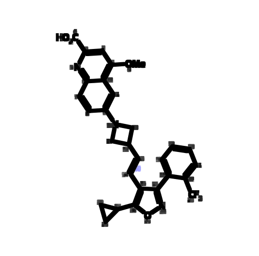 COc1cc(C(=O)O)nc2ccc(N3CC(/C=C/c4c(-c5ccccc5C(F)(F)F)noc4C4CC4)C3)cc12